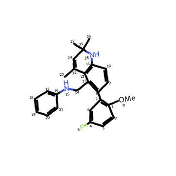 COc1ccc(F)cc1-c1ccc2c(c1CNc1ccccc1)C(C)=CC(C)(C)N2